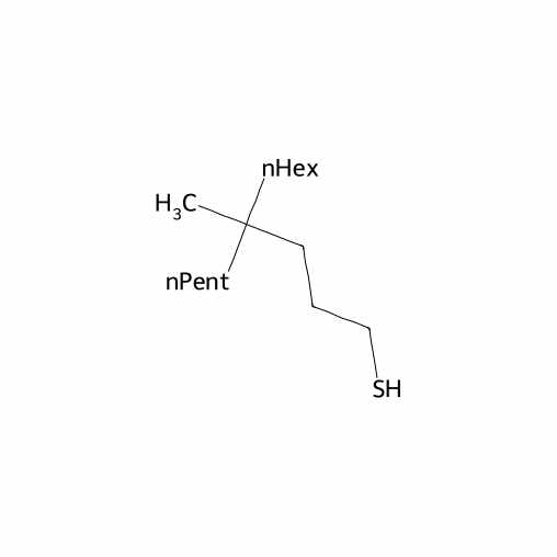 CCCCCCC(C)(CCCS)CCCCC